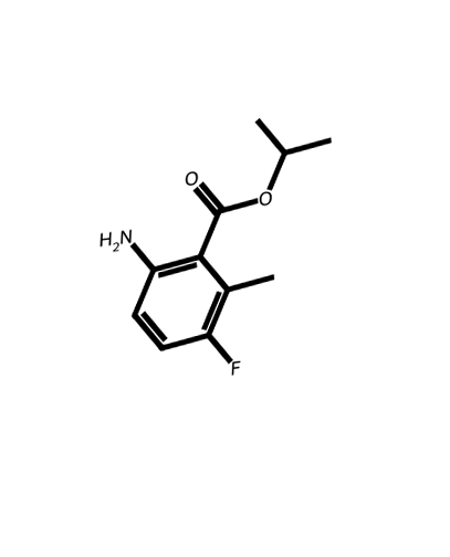 Cc1c(F)ccc(N)c1C(=O)OC(C)C